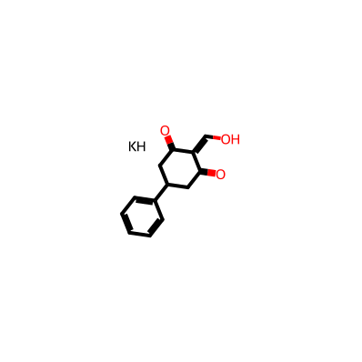 O=C1CC(c2ccccc2)CC(=O)C1=CO.[KH]